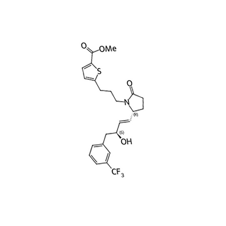 COC(=O)c1ccc(CCCN2C(=O)CC[C@@H]2C=C[C@@H](O)Cc2cccc(C(F)(F)F)c2)s1